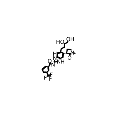 CN1CC[C@H](c2cc3[nH]/c(=N/C(=O)c4cccc(C(F)(F)F)c4)[nH]c3cc2CC[C@@H](O)CO)C1=O